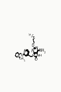 COCCOc1nc(N)c2[nH]c(=O)n(Cc3ccnc(OCC4CCCCN4C)c3)c2n1